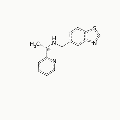 C[C@H](NCc1ccc2scnc2c1)c1ccccn1